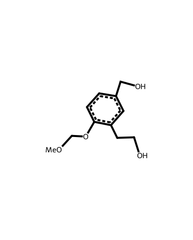 COCOc1ccc(CO)cc1CCO